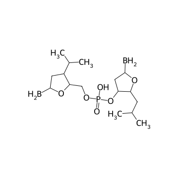 BC1CC(OP(=O)(O)OCC2OC(B)CC2C(C)C)C(CC(C)C)O1